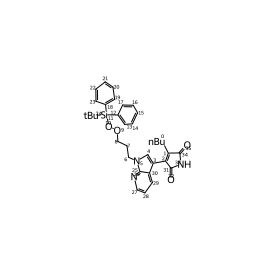 CCCCC1=C(c2cn(CCCOO[Si](c3ccccc3)(c3ccccc3)C(C)(C)C)c3ncccc23)C(=O)NC1=O